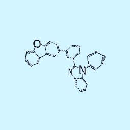 c1ccc(-n2c(-c3cccc(-c4ccc5oc6ccccc6c5c4)c3)nc3ccccc32)cc1